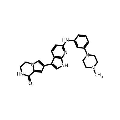 CN1CCN(c2cccc(Nc3ccc4c(-c5cc6n(c5)CCNC6=O)c[nH]c4n3)c2)CC1